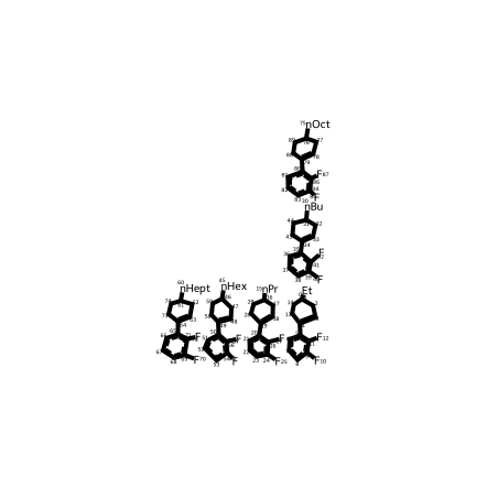 CCC1CC=C(c2cccc(F)c2F)CC1.CCCC1CC=C(c2cccc(F)c2F)CC1.CCCCC1CC=C(c2cccc(F)c2F)CC1.CCCCCCC1CC=C(c2cccc(F)c2F)CC1.CCCCCCCC1CC=C(c2cccc(F)c2F)CC1.CCCCCCCCC1CC=C(c2cccc(F)c2F)CC1